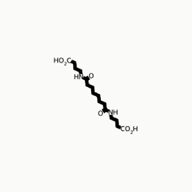 O=C(O)CCCNC(=O)CCCCCCC(=O)NCCCC(=O)O